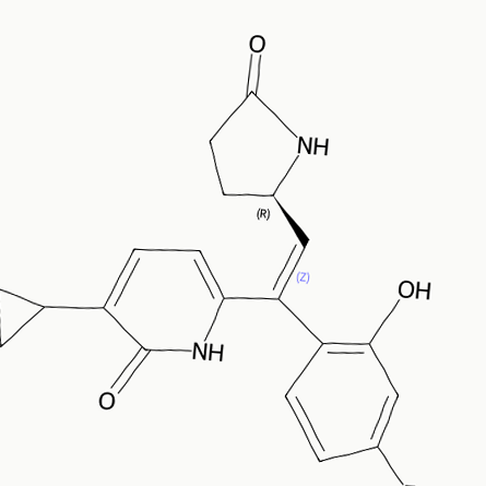 O=C1CC[C@H](/C=C(\c2ccc(C3CC3)c(=O)[nH]2)c2ccc(F)cc2O)N1